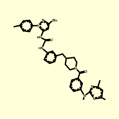 Cc1ccc(-n2nc(C(C)(C)C)cc2NC(=O)Nc2cccc(CC3CCN(C(=O)c4cccc(N(C)c5nc(C)cc(C)n5)c4)CC3)c2)cc1